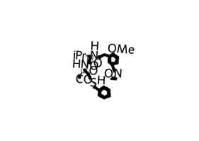 COc1ccc(-c2ncco2)cc1CC(=O)N[C@H](C(=O)N[C@@H](CC(=O)O)C(=O)CSCc1ccccc1)C(C)C